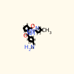 Cc1ccc(NC(=O)c2ccccc2NC(=O)c2ccc(CN)cc2)nc1